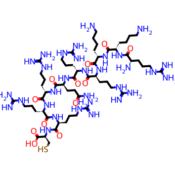 N=C(N)NCCC[C@H](NC(=O)[C@H](CCCNC(=N)N)NC(=O)[C@H](CCCNC(=N)N)NC(=O)[C@H](CCC(N)=O)NC(=O)[C@H](CCCNC(=N)N)NC(=O)[C@H](CCCNC(=N)N)NC(=O)[C@H](CCCCN)NC(=O)[C@H](CCCCN)NC(=O)[C@@H](N)CCCNC(=N)N)C(=O)N[C@@H](CS)C(=O)O